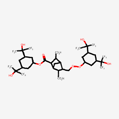 O=C(O)C1C(COOC2CC(C(O)(C(F)(F)F)C(F)(F)F)CC(C(O)(C(F)(F)F)C(F)(F)F)C2)C2CC1C(C(=O)OC1CC(C(O)(C(F)(F)F)C(F)(F)F)CC(C(O)(C(F)(F)F)C(F)(F)F)C1)C2C(=O)O